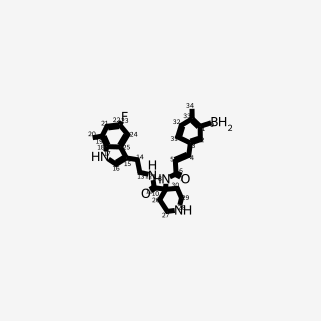 Bc1cc(/C=C/C(=O)NC2(C(=O)NCCc3c[nH]c4c(C)cc(F)cc34)CCNCC2)ccc1C